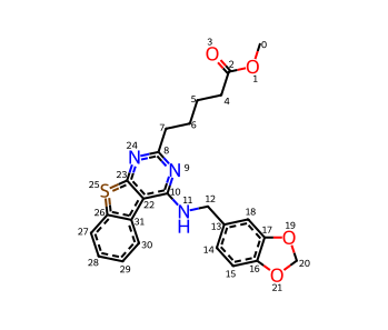 COC(=O)CCCCc1nc(NCc2ccc3c(c2)OCO3)c2c(n1)sc1ccccc12